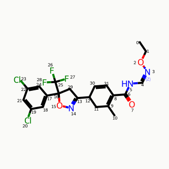 CCO/N=C\NC(=O)C1=C(C)CC(C2=NOC(c3cc(Cl)cc(Cl)c3)(C(F)(F)F)C2)C=C1